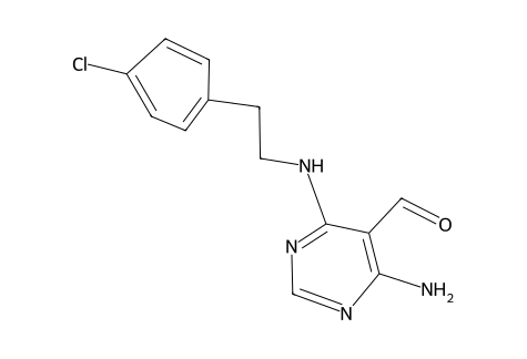 Nc1ncnc(NCCc2ccc(Cl)cc2)c1C=O